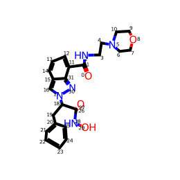 O=C(NCCN1CCOCC1)c1cccc2cn(C(Cc3ccccc3)C(=O)NO)nc12